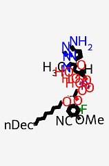 CCCCCCCCCCCCCCCCCCOC[C@H](COP(=O)(O)OC1[C@H]2O[C@@](C=NC)(c3ccc4c(N)ncnn34)[C@H](O)[C@@]12O)Oc1ccc(C#N)c(OC)c1F